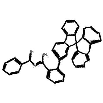 N=C(/N=C(\N)c1ccccc1-c1ccc2c(c1)C1(c3ccccc3-c3ccccc31)c1ccccc1-2)c1ccccc1